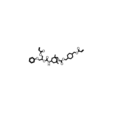 C=CC(=O)OCC1CCC(COC(=O)N2CC3(C)CC(NC(=O)OC(COC(=O)C=C)COc4ccccc4)CC2(C)C3)CC1